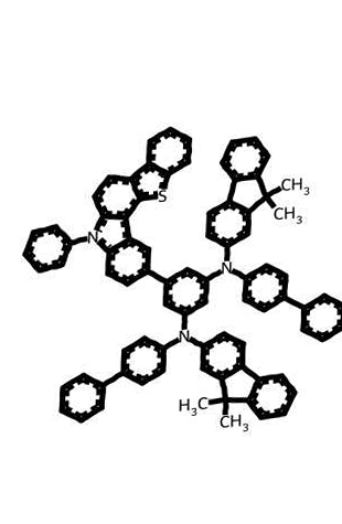 CC1(C)c2ccccc2-c2ccc(N(c3ccc(-c4ccccc4)cc3)c3cc(-c4ccc5c(c4)c4c6sc7ccccc7c6ccc4n5-c4ccccc4)cc(N(c4ccc(-c5ccccc5)cc4)c4ccc5c(c4)C(C)(C)c4ccccc4-5)c3)cc21